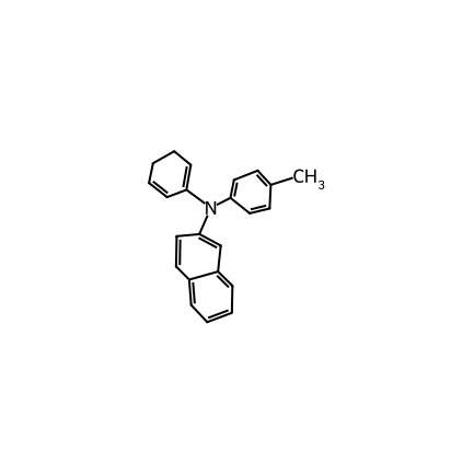 Cc1ccc(N(C2=CCCC=C2)c2ccc3ccccc3c2)cc1